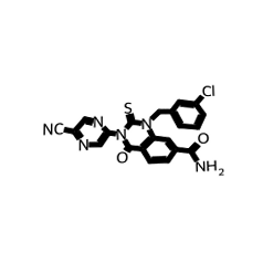 N#Cc1cnc(-n2c(=O)c3ccc(C(N)=O)cc3n(Cc3cccc(Cl)c3)c2=S)cn1